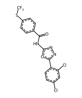 O=C(Nc1nnc(-c2ccc(Cl)cc2Cl)o1)c1ccc(SC(F)(F)F)cc1